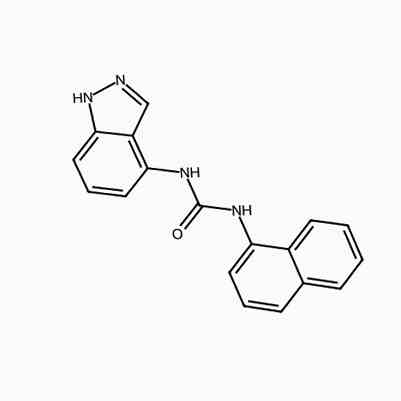 O=C(Nc1cccc2ccccc12)Nc1cccc2[nH]ncc12